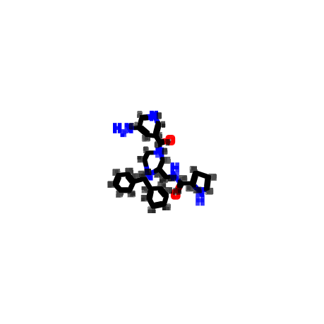 Nc1cncc(C(=O)N2CCN(C(c3ccccc3)c3ccccc3)C(CNC(=O)c3ccc[nH]3)C2)c1